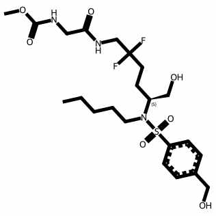 CCCCCN([C@H](CO)CCC(F)(F)CNC(=O)CNC(=O)OC)S(=O)(=O)c1ccc(CO)cc1